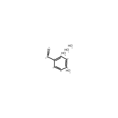 Cl.Cl.Cl.Cl.[W]=[N]c1ccccc1